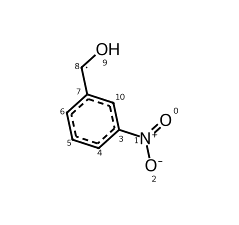 O=[N+]([O-])c1cccc([CH]O)c1